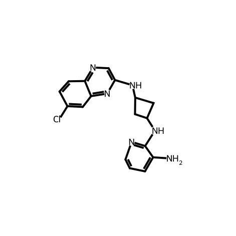 Nc1cccnc1NC1CC(Nc2cnc3ccc(Cl)cc3n2)C1